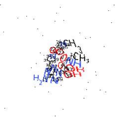 CCNC(=O)[C@H]1O[C@@H](n2cnc3c(N)nc(CC4CCN(C(=O)OC5CCN(C)C5)CC4)nc32)C(O)C1O